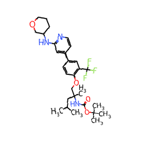 CC(C)CC(C)(COc1ccc(-c2ccnc(NC3CCCOC3)c2)cc1C(F)(F)F)NC(=O)OC(C)(C)C